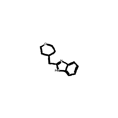 c1ccc2[nH]c(CC3CCOCC3)nc2c1